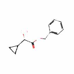 O=C(OCc1ccccc1)[C@H](O)C1CC1